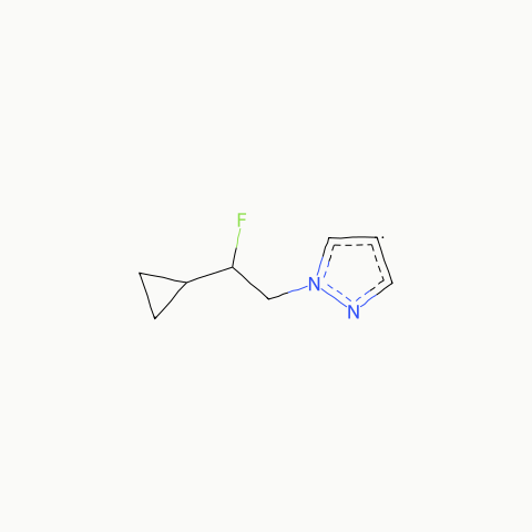 FC(Cn1c[c]cn1)C1CC1